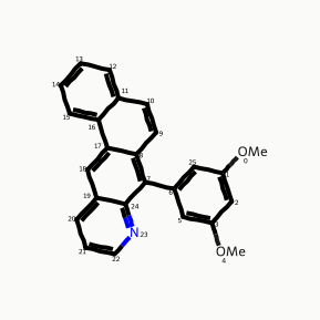 COc1cc(OC)cc(-c2c3ccc4ccccc4c3cc3cccnc23)c1